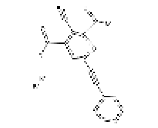 C#Cc1c(C(=O)[O-])cc(C#Cc2ccccc2)cc1C(=O)[O-].[K+].[K+]